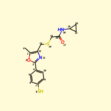 Cc1oc(-c2ccc(S)cc2)nc1CSCC(=O)NC1CC1